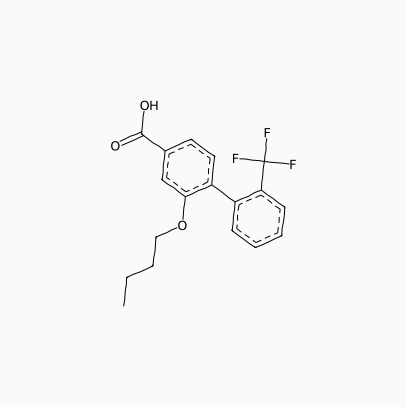 CCCCOc1cc(C(=O)O)ccc1-c1ccccc1C(F)(F)F